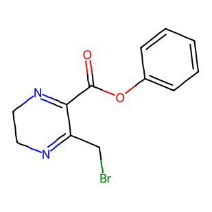 O=C(Oc1ccccc1)C1=NCCN=C1CBr